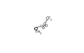 Cc1cccc(CCOC(=O)C(=O)OCCCC(F)(F)F)c1